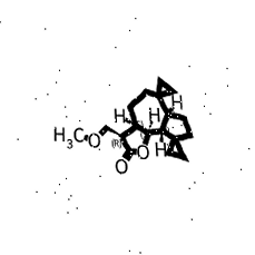 COC[C@@H]1C(=O)O[C@H]2[C@H]1CCC1(CC1)[C@@H]1CCC3(CC3)[C@H]21